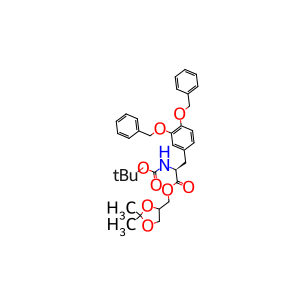 CC(C)(C)OC(=O)N[C@@H](Cc1ccc(OCc2ccccc2)c(OCc2ccccc2)c1)C(=O)OCC1COC(C)(C)O1